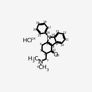 CN(C)CC1CCc2c(c3ccccc3n2-c2ccccc2)C1=O.Cl